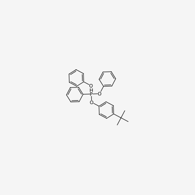 CC(C)(C)c1ccc(O[PH](Oc2ccccc2)(Oc2ccccc2)c2ccccc2)cc1